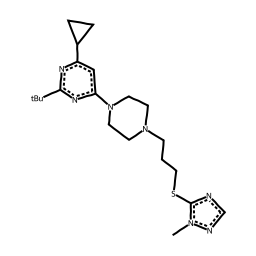 Cn1ncnc1SCCCN1CCN(c2cc(C3CC3)nc(C(C)(C)C)n2)CC1